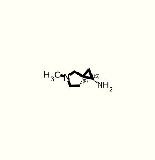 CN1CC[C@@]2(C[C@@H]2N)C1